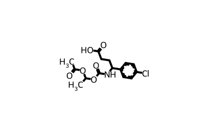 CC(=O)OC(C)OC(=O)NC(CCC(=O)O)c1ccc(Cl)cc1